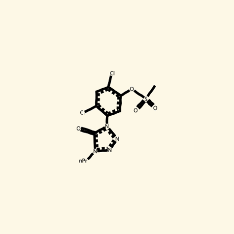 CCCn1nnn(-c2cc(OS(C)(=O)=O)c(Cl)cc2Cl)c1=O